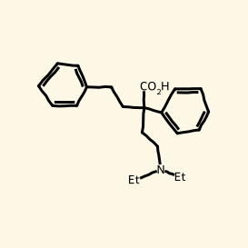 CCN(CC)CCC(CCc1ccccc1)(C(=O)O)c1ccccc1